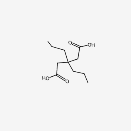 CCCC(CCC)(CC(=O)O)CC(=O)O